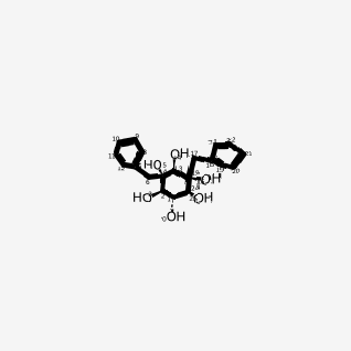 O[C@@H]1[C@@H](O)[C@@](O)(Cc2ccccc2)[C@@H](O)[C@](O)(Cc2ccccc2)[C@H]1O